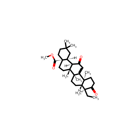 CC[C@]1(C)C(=O)CC[C@]2(C)C3=CC(=O)[C@@H]4[C@@H]5CC(C)(C)CC[C@]5(C(=O)OC)CC[C@@]4(C)[C@]3(C)CC[C@@H]12